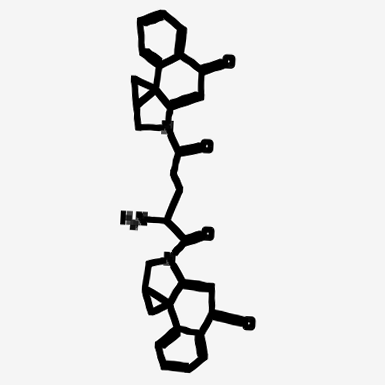 NC(CCC(=O)N1CC2CC23C1=CC(=O)c1ccccc13)C(=O)N1CC2CC23C1=CC(=O)c1ccccc13